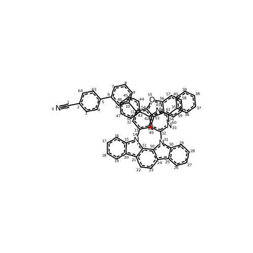 N#Cc1ccc(-c2cccc(-c3cc(-n4c5ccccc5c5ccc6c7ccccc7n(-c7nc(-c8ccccc8)nc(-c8ccccc8)n7)c6c54)cc4c3oc3ccccc34)c2)cc1